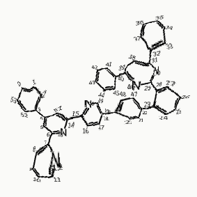 c1ccc(-c2cc(-c3ccccn3)nc(-c3ccc(-c4ccc(-c5ccccc5-c5nc(-c6ccccc6)cc(-c6ccccc6)n5)cc4)cn3)c2)cc1